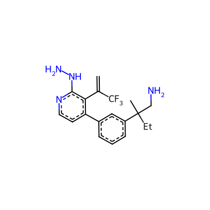 C=C(c1c(-c2cccc(C(C)(CC)CN)c2)ccnc1NN)C(F)(F)F